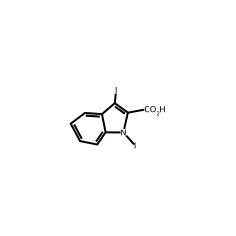 O=C(O)c1c(I)c2ccccc2n1I